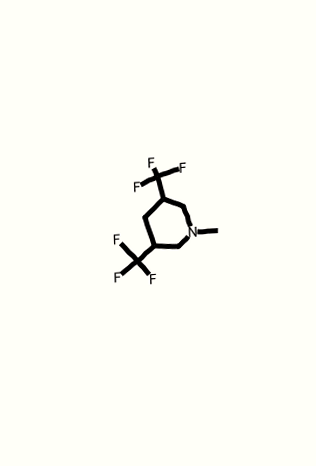 CN1CC(C(F)(F)F)CC(C(F)(F)F)C1